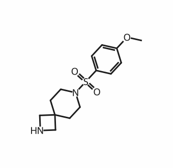 COc1ccc(S(=O)(=O)N2CCC3(CC2)CNC3)cc1